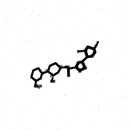 O=C(N[C@@H]1CC[C@H](N2CCCC(C(=O)O)C2)[C@@H](O)C1)c1cc(-c2ccc(F)cc2F)on1